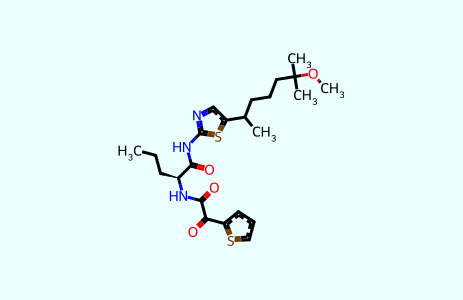 CCC[C@H](NC(=O)C(=O)c1cccs1)C(=O)Nc1ncc(C(C)CCCC(C)(C)OC)s1